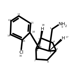 NC[C@@H]1C2CCC(CC2)[C@@H]1c1ccccc1Cl